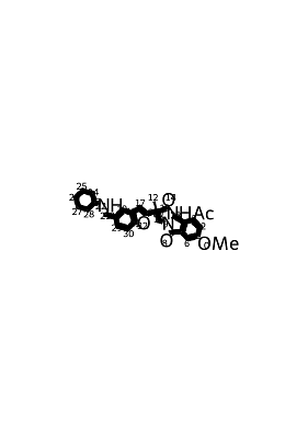 COc1ccc2c(c1)C(=O)N(C[C@@](C)(C(=O)NC(C)=O)c1cc3cc(CNC4CCCCC4)ccc3o1)C2